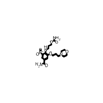 NC(=O)OCCCNc1c(OCCCN2CCOCC2)cc(C(N)=O)cc1[N+](=O)[O-]